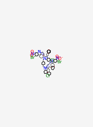 CN1/C(=C/C=C/C2=[N+](Cc3ccc(C[N+]4=C(/C=C/C=C5/N(C)c6cc([N+](=O)[O-])c(Br)cc6C56CCCCC6)C(Cc5ccccc5)(Cc5ccccc5)c5cc(Cl)ccc54)cc3)c3ccc(Cl)cc3C2(Cc2ccccc2)Cc2ccccc2)C2(CCCCC2)c2cc(Br)c([N+](=O)[O-])cc21